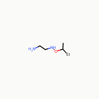 CCC(C)ONCCN